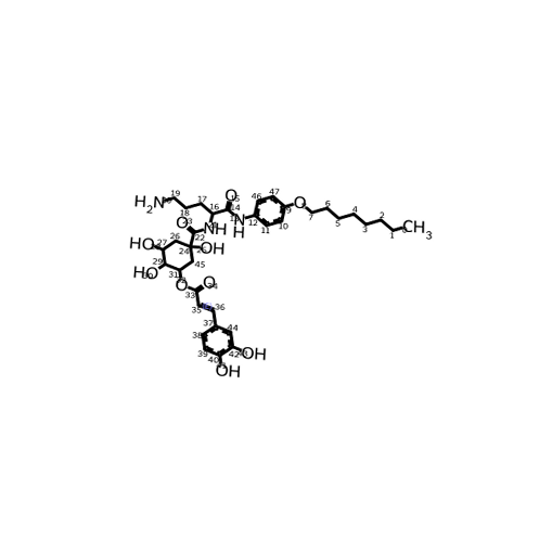 CCCCCCCCOc1ccc(NC(=O)C(CCCN)NC(=O)C2(O)CC(O)C(O)C(OC(=O)/C=C/c3ccc(O)c(O)c3)C2)cc1